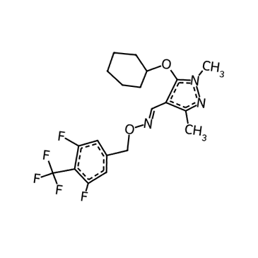 Cc1nn(C)c(OC2CCCCC2)c1C=NOCc1cc(F)c(C(F)(F)F)c(F)c1